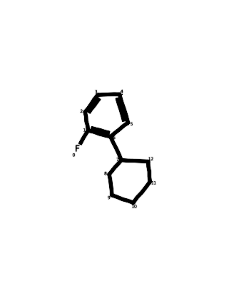 Fc1cc[c][c]c1C1CCCCC1